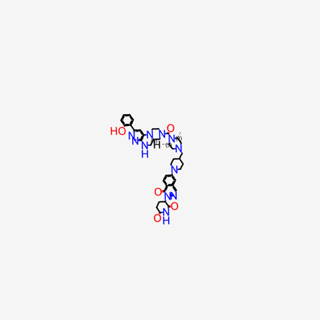 C[C@@H]1CN(CC2CCN(c3ccc4c(=O)n(C5CCC(=O)NC5=O)ncc4c3)CC2)C[C@H](C)N1C(=O)N1CCN2c3cc(-c4ccccc4O)nnc3NC[C@H]2C1